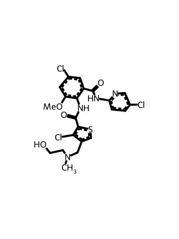 COc1cc(Cl)cc(C(=O)Nc2ccc(Cl)cn2)c1NC(=O)c1scc(CN(C)CCO)c1Cl